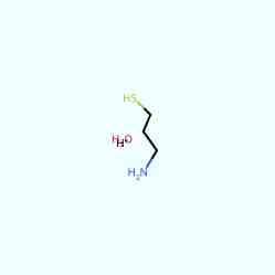 NCCCS.O.[H+]